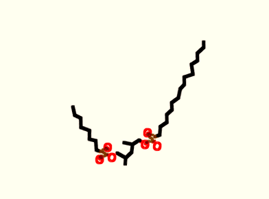 CCCCCCCCCCCCCCCCS(=O)(=O)OCC(C)CC(C)COS(=O)(=O)CCCCCCCC